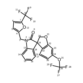 O=C1N(Cc2ccc(C(F)(F)F)o2)c2ccccc2C12COc1cc(OC(F)(F)F)ccc12